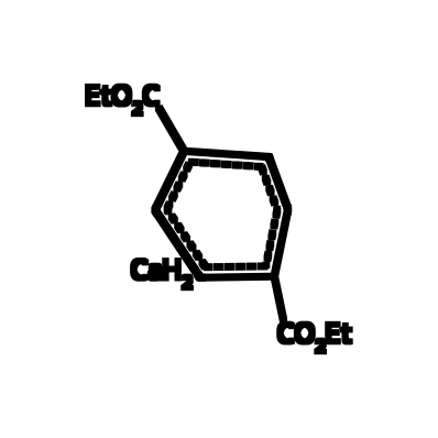 CCOC(=O)c1ccc(C(=O)OCC)cc1.[CaH2]